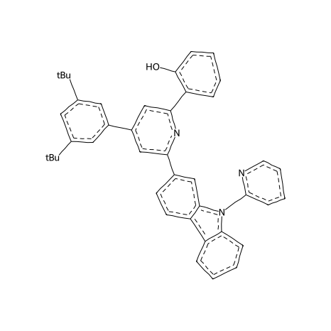 CC(C)(C)c1cc(-c2cc(-c3ccc4c5ccccc5n(-c5ccccn5)c4c3)nc(-c3ccccc3O)c2)cc(C(C)(C)C)c1